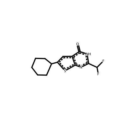 O=c1[nH]c(C(F)F)nc2sc(C3CCCCC3)cc12